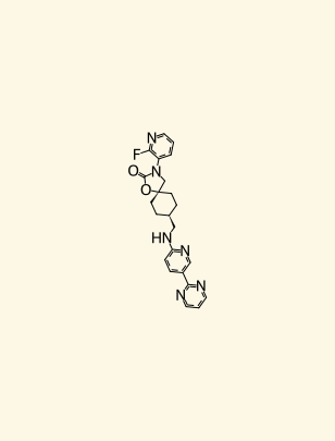 O=C1O[C@]2(CC[C@H](CNc3ccc(-c4ncccn4)cn3)CC2)CN1c1cccnc1F